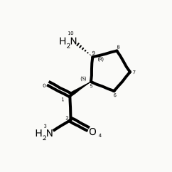 C=C(C(N)=O)[C@@H]1CCC[C@H]1N